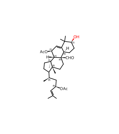 CC(=O)O[C@H]1C=C2[C@@H](CC[C@H](O)C2(C)C)[C@]2(C=O)CC[C@]3(C)C([C@H](C)C[C@H](C=C(C)C)OC(C)=O)CC[C@@]3(C)[C@H]12